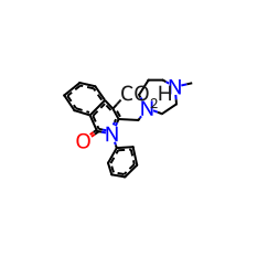 CN1CCCN(Cc2c(C(=O)O)c3ccccc3c(=O)n2-c2ccccc2)CC1